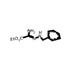 CCOC(=O)/C(N)=N/NCc1ccccc1